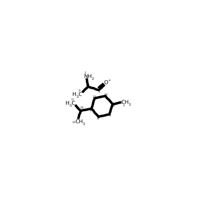 CC(N)C=O.CC1CCC(C(C)C)CC1